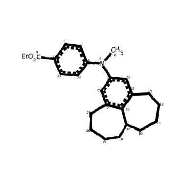 CCOC(=O)c1ccc(N(C)c2cc3c4c(c2)CCCCC4CCCC3)cc1